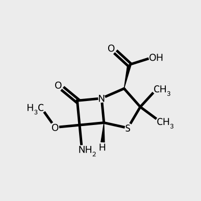 COC1(N)C(=O)N2[C@@H](C(=O)O)C(C)(C)S[C@@H]21